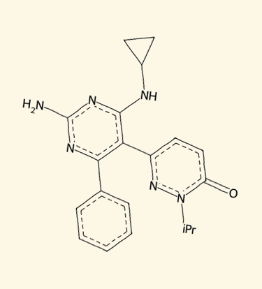 CC(C)n1nc(-c2c(NC3CC3)nc(N)nc2-c2ccccc2)ccc1=O